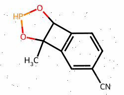 CC12OPOC1c1ccc(C#N)cc12